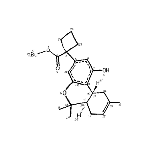 CCCCOC(=O)C1(c2cc(O)c3c(c2)OC(C)(C)[C@@H]2CC=C(C)C[C@@H]32)CCC1